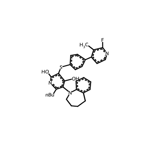 CCCCc1nc(O)c(Sc2ccc(-c3ccnc(F)c3C)cc2)c(O)c1N1CCCCc2ccccc21